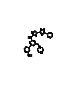 Oc1cccc(-c2cc(CN3CCOCC3)cc(Nc3ncc(-c4nnc(-c5ccccc5)o4)s3)n2)c1